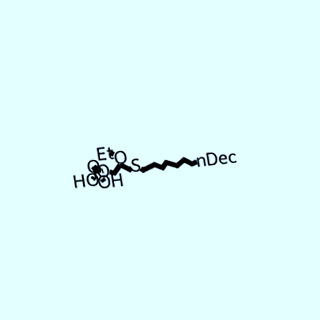 CCCCCCCCCCCCCCCCCSCC(COP(=O)(O)O)OCC